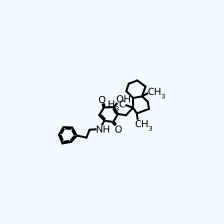 CC1CCC2(C)CCCCC2C1(C)CC1=C(O)C(=O)C=C(NCCc2ccccc2)C1=O